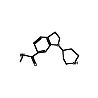 CNC(=O)c1ccc2c(c1)N(C1CCNCC1)CC2